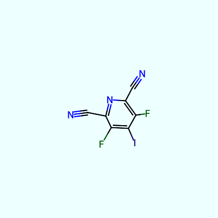 N#Cc1nc(C#N)c(F)c(I)c1F